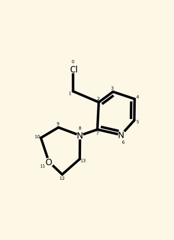 ClCc1cccnc1N1CCOCC1